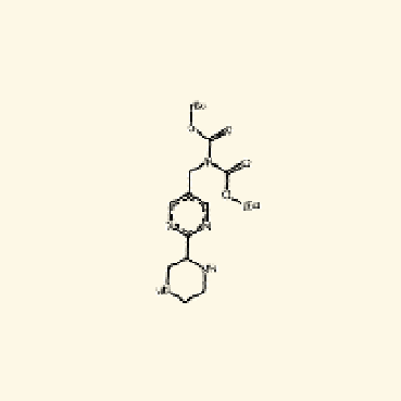 CC(C)(C)OC(=O)N(Cc1cnc(C2CNCCN2)nc1)C(=O)OC(C)(C)C